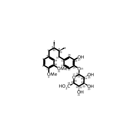 COc1ccc(C[C@@H](C)[C@@H](C)Cc2ccc(O[C@@H]3O[C@H](C(=O)O)[C@@H](O)[C@H](O)[C@H]3O)c(O)c2)cc1OC